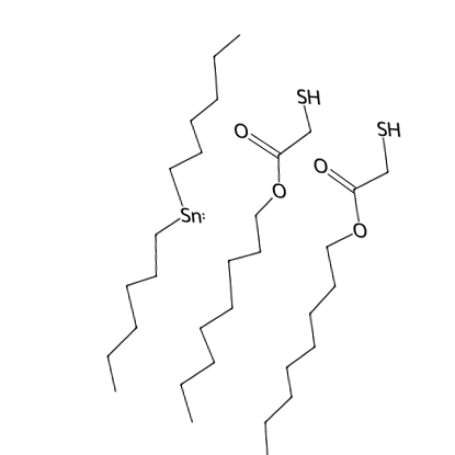 CCCCCCCCOC(=O)CS.CCCCCCCCOC(=O)CS.CCCCC[CH2][Sn][CH2]CCCCC